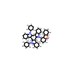 c1ccc(-n2c3ccccc3c3c2c2c4ccccc4n(-c4cccc5oc6ccccc6c45)c2c2c4ccccc4n(-c4ccccc4)c32)cc1